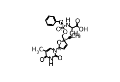 C#C[C@@]1(CO[P@](=O)(NC(C)C(=O)O)Oc2ccccc2)C=C[C@H](n2cc(C)c(=O)[nH]c2=O)O1